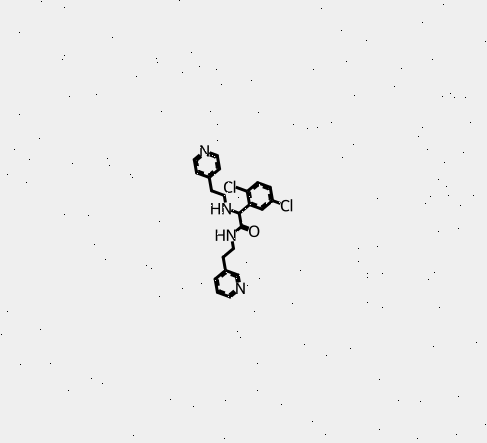 O=C(NCCc1cccnc1)C(NCCc1ccncc1)c1cc(Cl)ccc1Cl